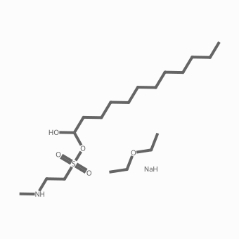 CCCCCCCCCCCC(O)OS(=O)(=O)CCNC.CCOCC.[NaH]